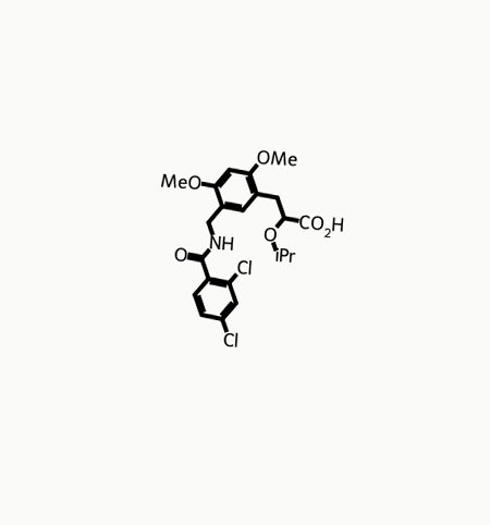 COc1cc(OC)c(CC(OC(C)C)C(=O)O)cc1CNC(=O)c1ccc(Cl)cc1Cl